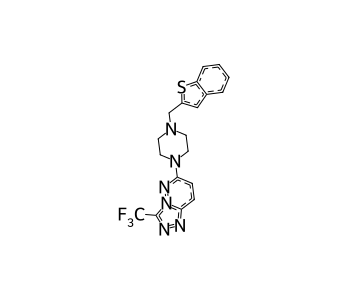 FC(F)(F)c1nnc2ccc(N3CCN(Cc4cc5ccccc5s4)CC3)nn12